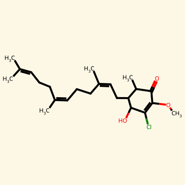 COC1=C(Cl)C(O)C(CC=C(C)CCC=C(C)CCC=C(C)C)C(C)C1=O